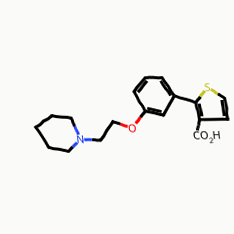 O=C(O)c1ccsc1-c1cccc(OCCN2CCCCC2)c1